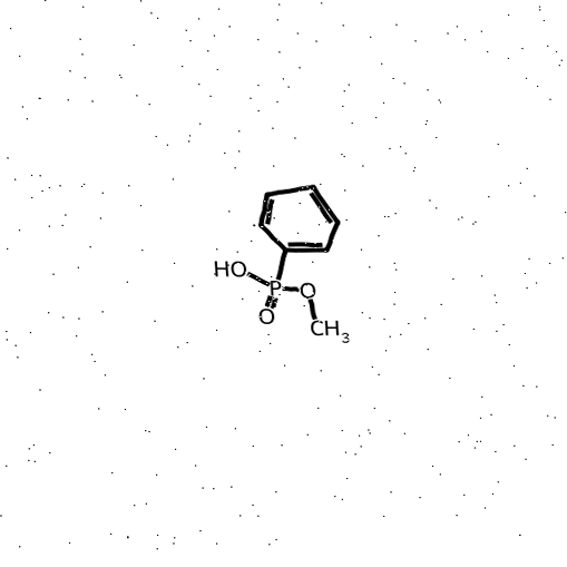 COP(=O)(O)c1[c]cccc1